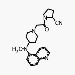 CN(c1cccc2ncccc12)C1CCN(CC(=O)N2CCC[C@H]2C#N)CC1